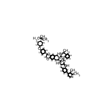 Cc1nccc(-c2ccc(C[C@H](NC(=O)[C@@H]3Cc4cc5c(cc4CN3C(=O)N[C@H](C)c3ccccc3)O[C@@H](c3ccc(O[C@H]4CC[C@@H](C(C)(C)C)CC4)cc3)CO5)C(=O)O)cc2)c1C